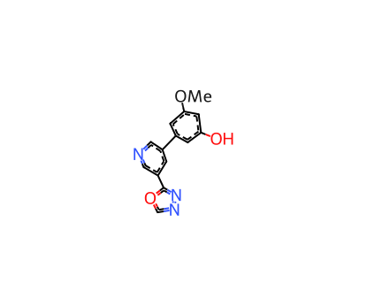 COc1cc(O)cc(-c2cncc(-c3nnco3)c2)c1